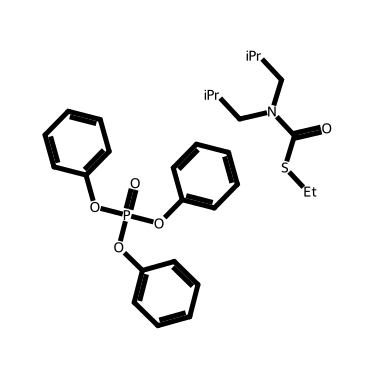 CCSC(=O)N(CC(C)C)CC(C)C.O=P(Oc1ccccc1)(Oc1ccccc1)Oc1ccccc1